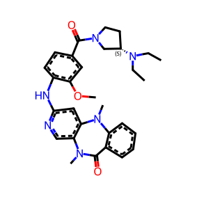 CCN(CC)[C@H]1CCN(C(=O)c2ccc(Nc3cc4c(cn3)N(C)C(=O)c3ccccc3N4C)c(OC)c2)C1